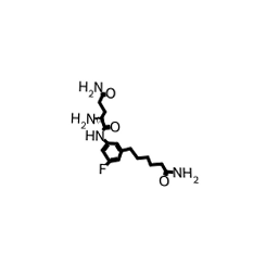 NC(=O)CCCCCc1cc(F)cc(NC(=O)[C@@H](N)CCC(N)=O)c1